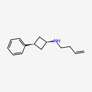 C=CCCN[C@H]1C[C@@H](c2ccccc2)C1